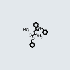 Cl.NC(Cc1cn(Cc2ccccc2)c2ccccc12)C(=O)OCc1ccccc1